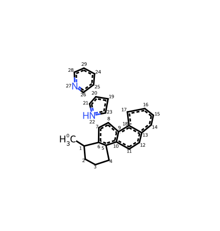 CC1CCCc2c1ccc1c2ccc2ccccc21.c1cc[nH]c1.c1ccncc1